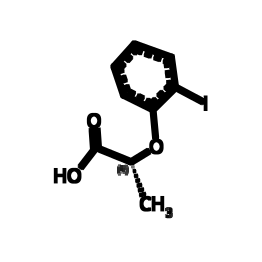 C[C@@H](Oc1ccccc1I)C(=O)O